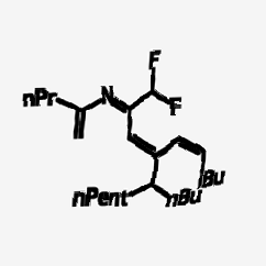 C=C(CCC)\N=C(/C=C(\C=C/C(C)CC)C(CCCC)CCCCC)C(F)F